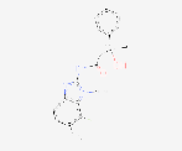 CC(C)(C)n1c(NC(=O)C[C@@](C)(O)c2ccccc2)nc2ccc(C#N)c(F)c21